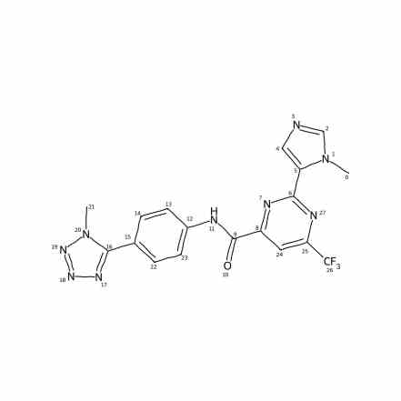 Cn1cncc1-c1nc(C(=O)Nc2ccc(-c3nnnn3C)cc2)cc(C(F)(F)F)n1